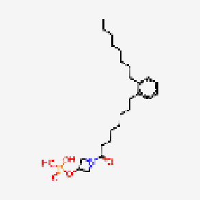 CCCCCCCCc1ccccc1CCCCCCCC(=O)N1CC(OP(=O)(O)O)C1